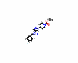 CC(C)(C)OC(=O)N1CCC(n2cc(NCc3ccc(F)cc3)cn2)CC1